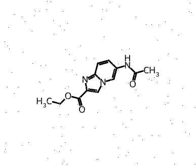 CCOC(=O)c1cn2cc(NC(C)=O)ccc2n1